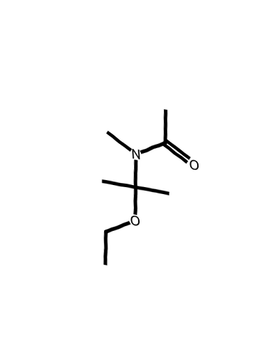 CCOC(C)(C)N(C)C(C)=O